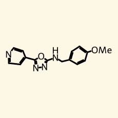 COc1ccc(CNc2nnc(-c3ccncc3)o2)cc1